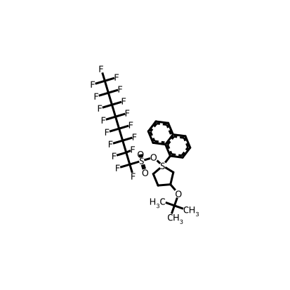 CC(C)(C)OC1CCS(OS(=O)(=O)C(F)(F)C(F)(F)C(F)(F)C(F)(F)C(F)(F)C(F)(F)C(F)(F)C(F)(F)F)(c2cccc3ccccc23)C1